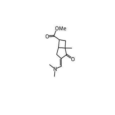 COC(=O)C1CC2(C)C(=O)C(=CN(C)C)CC12